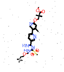 COC(=O)C(C)(C)COc1cc(C)c(-c2ccc(C(=N)/N=C(\NCOCC[Si](C)(C)C)S(C)(=O)=O)cn2)cn1